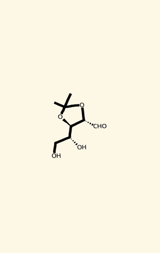 CC1(C)O[C@H]([C@H](O)CO)[C@@H](C=O)O1